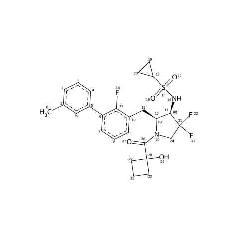 Cc1cccc(-c2cccc(C[C@H]3[C@@H](NS(=O)(=O)C4CC4)C(F)(F)CN3C(=O)C3(O)CCC3)c2F)c1